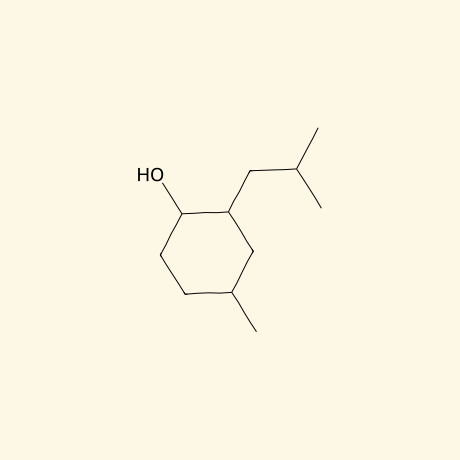 CC(C)CC1CC(C)CCC1O